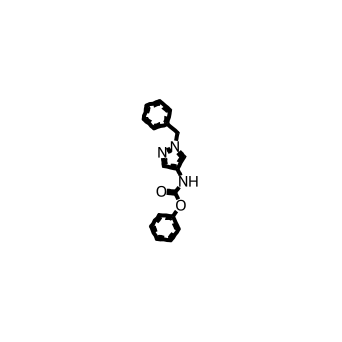 O=C(Nc1cnn(Cc2ccccc2)c1)Oc1ccccc1